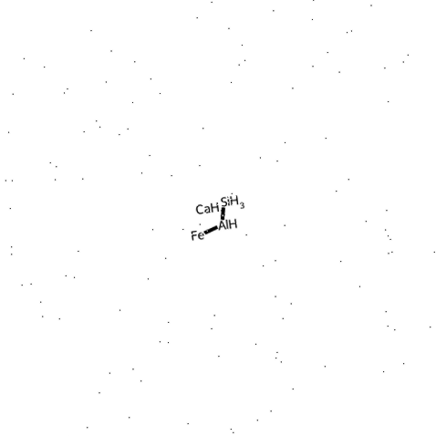 [CaH2].[SiH3][AlH][Fe]